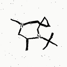 C=C1CN(C)CC2(CC2)N1C(C)(C)C